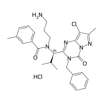 Cc1cccc(C(=O)N(CCCN)[C@@H](c2nc3c(Cl)c(C)nn3c(=O)n2Cc2ccccc2)C(C)C)c1.Cl